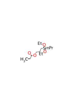 C=CC(=O)OCCC[Si](CCC)(OCC)OCC